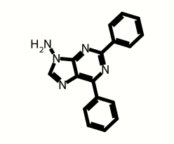 Nn1cnc2c(-c3ccccc3)nc(-c3ccccc3)nc21